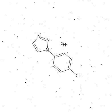 Clc1ccc(-n2ccnn2)cc1.[2H]